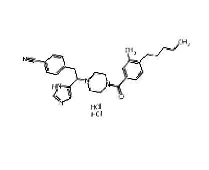 CCCCCc1ccc(C(=O)N2CCN(C(Cc3ccc(C#N)cc3)c3cnc[nH]3)CC2)cc1C.Cl.Cl